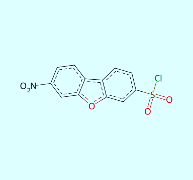 O=[N+]([O-])c1ccc2c(c1)oc1cc(S(=O)(=O)Cl)ccc12